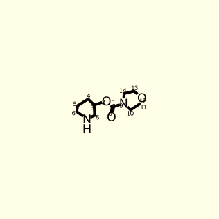 O=C(OC1CCCNC1)N1CCOCC1